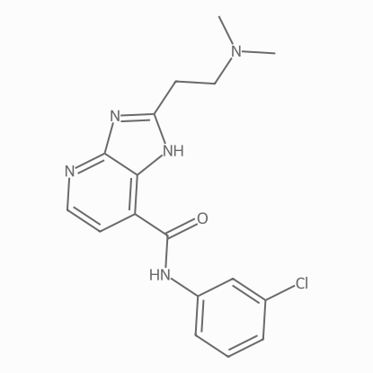 CN(C)CCc1nc2nccc(C(=O)Nc3cccc(Cl)c3)c2[nH]1